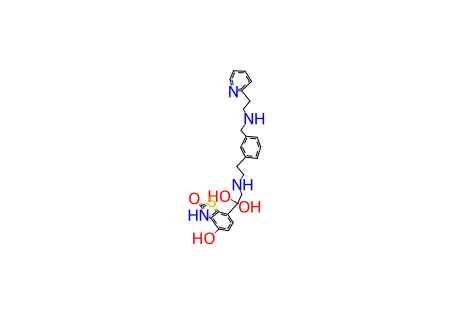 O=c1[nH]c2c(O)ccc(C(O)(O)CNCCc3cccc(CNCCc4ccccn4)c3)c2s1